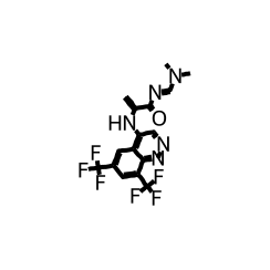 C=C(Nc1cnnc2c(C(F)(F)F)cc(C(F)(F)F)cc12)C(=O)N=CN(C)C